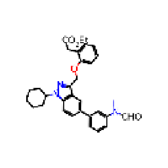 CCOC(=O)Cc1ccccc1OCc1nn(C2CCCCC2)c2ccc(-c3cccc(NC=O)c3)cc12